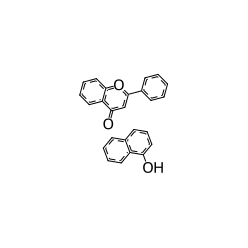 O=c1cc(-c2ccccc2)oc2ccccc12.Oc1cccc2ccccc12